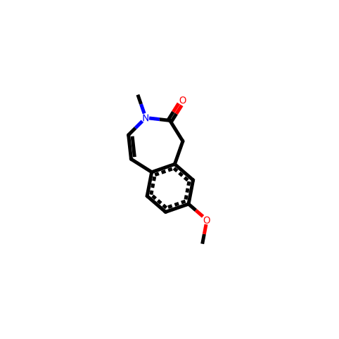 COc1ccc2c(c1)CC(=O)N(C)C=C2